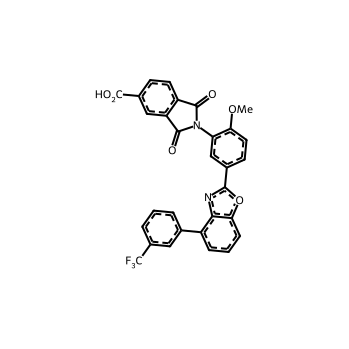 COc1ccc(-c2nc3c(-c4cccc(C(F)(F)F)c4)cccc3o2)cc1N1C(=O)c2ccc(C(=O)O)cc2C1=O